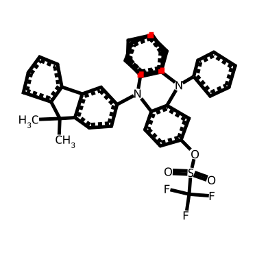 CC1(C)c2ccccc2-c2cc(N(c3ccccc3)c3ccc(OS(=O)(=O)C(F)(F)F)cc3N(c3ccccc3)c3ccccc3)ccc21